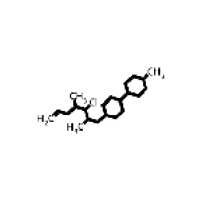 C=CCC(C)C(Cl)C(C)CC1CCC(C2CCC(C)CC2)CC1